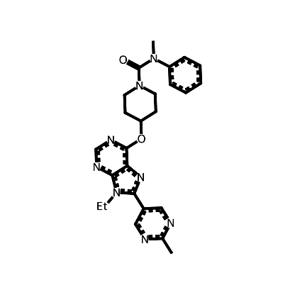 CCn1c(-c2cnc(C)nc2)nc2c(OC3CCN(C(=O)N(C)c4ccccc4)CC3)ncnc21